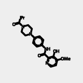 COc1ccnc(C(=O)Nc2ccc(N3CCN(C(=O)C(C)C)CC3)cc2)c1O